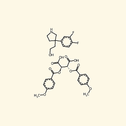 COc1ccc(C(=O)O[C@@H](C(=O)O)[C@@H](OC(=O)c2ccc(OC)cc2)C(=O)O)cc1.OCCC1(c2ccc(F)c(F)c2)CCNC1